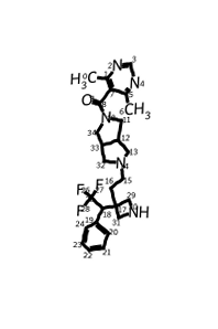 Cc1ncnc(C)c1C(=O)N1CC2CN(CCC3(C(c4ccccc4)C(F)(F)F)CNC3)CC2C1